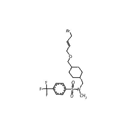 CN(CC1CCC(COCC=CCBr)CC1)S(=O)(=O)c1ccc(C(F)(F)F)cc1